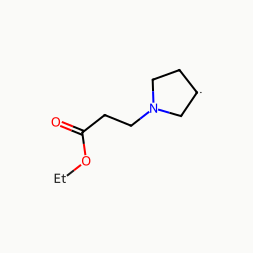 CCOC(=O)CCN1C[CH]CC1